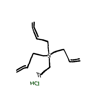 C=CC[Si]([CH2][Ti])(CC=C)CC=C.Cl